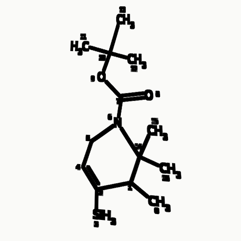 CC1C([SiH3])=CCN(C(=O)OC(C)(C)C)C1(C)C